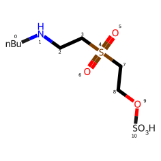 CCCCNCCS(=O)(=O)CCOS(=O)(=O)O